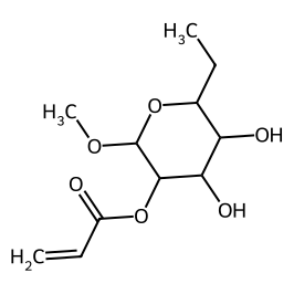 C=CC(=O)OC1C(OC)OC(CC)C(O)C1O